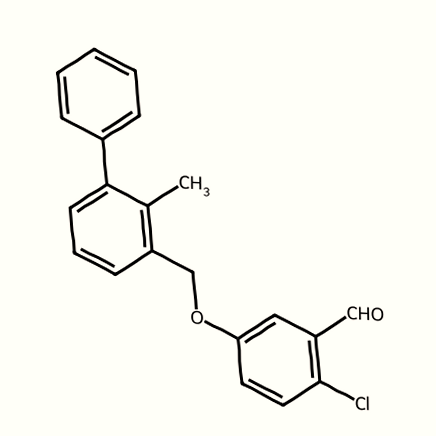 Cc1c(COc2ccc(Cl)c(C=O)c2)cccc1-c1ccccc1